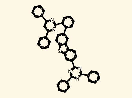 c1ccc(-c2cc(-c3ccccc3)nc(-c3ccccc3-c3ccc4sc5cc(-c6nc(-c7ccccc7)nc(-c7ccccc7)n6)ccc5c4c3)n2)cc1